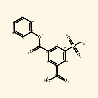 O=C(O)c1cc(C(=O)Oc2ccccc2)cc(S(=O)(=O)O)c1